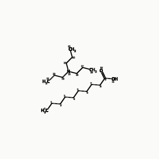 CCCCCCCCCC(=O)O.CCCN(CCC)CCC